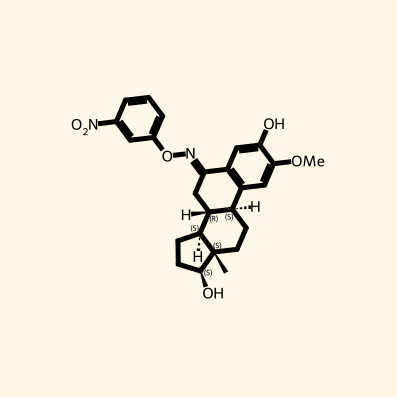 COc1cc2c(cc1O)C(=NOc1cccc([N+](=O)[O-])c1)C[C@@H]1[C@@H]2CC[C@]2(C)[C@@H](O)CC[C@@H]12